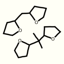 C1COC(CC2CCCO2)C1.CC(C)(C1CCCO1)C1CCCO1